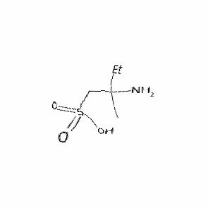 CCC(C)(N)CS(=O)(=O)O